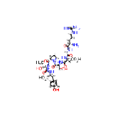 C[C@@H](O)[C@H](NC(=O)[C@@H]1CCCN1C(=O)[C@H](CO)NC(=O)[C@H](CC(=O)O)NC(=O)CNC(=O)[C@@H](N)CCCNC(=N)N)C(=O)N[C@@H](Cc1ccc(O)cc1)C(=O)O